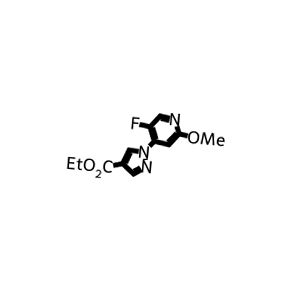 CCOC(=O)c1cnn(-c2cc(OC)ncc2F)c1